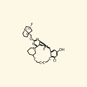 Oc1cc(Cl)c2c(c1)-c1ncc3c(nc(OC[C@@]45CCCN4C[C@H](F)C5)nc3c1F)N1CCCC(CCCCCC2)C1